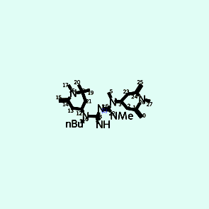 C=C1CC(N(C)/C(=N/C(=N)N(CCCC)C2CC(=C)N(C)C(C)(C)C2)NC)CC(=C)N1C